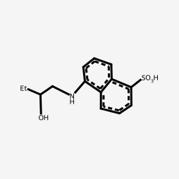 CCC(O)CNc1cccc2c(S(=O)(=O)O)cccc12